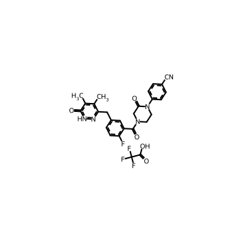 Cc1c(Cc2ccc(F)c(C(=O)N3CCN(c4ccc(C#N)cc4)C(=O)C3)c2)n[nH]c(=O)c1C.O=C(O)C(F)(F)F